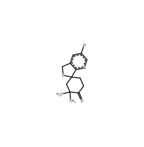 CC1(C)CC2(CCC1=O)OCc1cc(Cl)cnc12